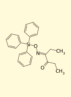 CCC(=O)/C(CC)=N/O[Si](c1ccccc1)(c1ccccc1)c1ccccc1